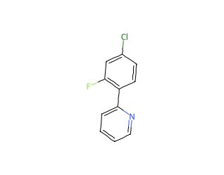 Fc1cc(Cl)ccc1-c1ccccn1